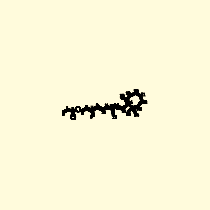 CCC(=O)OC/C=C(C)/C=C/C=C(C)/C=C/C1=C(\C)CCCCCC1(C)C